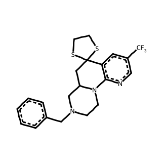 FC(F)(F)c1cnc2c(c1)C1(CC3CN(Cc4ccccc4)CCN23)SCCS1